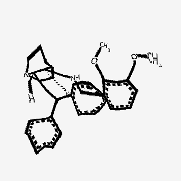 COc1cccc(CN[C@@H]2C3CCN(CC3)[C@H]2C(c2ccccc2)c2ccccc2)c1OC